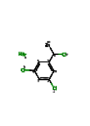 Br.Clc1cc(Cl)cc([CH](Cl)[Zn])c1